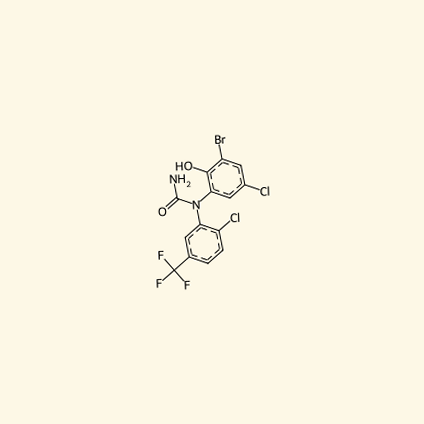 NC(=O)N(c1cc(C(F)(F)F)ccc1Cl)c1cc(Cl)cc(Br)c1O